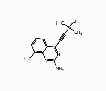 Cc1cccc2c(C#C[Si](C)(C)C)nc(N)nc12